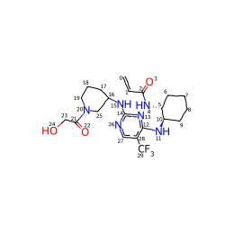 C=CC(=O)N[C@@H]1CCCC[C@H]1Nc1nc(NC2CCCN(C(=O)CO)C2)ncc1C(F)(F)F